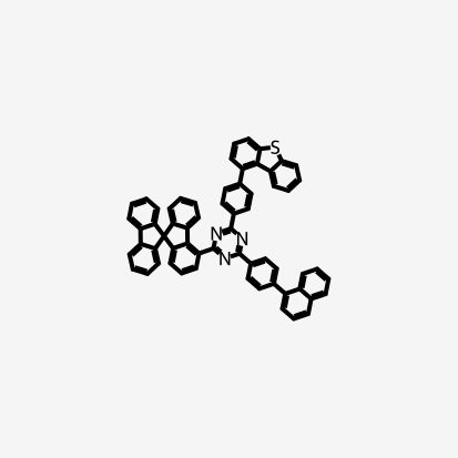 c1ccc2c(c1)-c1ccccc1C21c2ccccc2-c2c(-c3nc(-c4ccc(-c5cccc6ccccc56)cc4)nc(-c4ccc(-c5cccc6sc7ccccc7c56)cc4)n3)cccc21